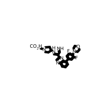 N=C/C(=C\NC1CCN(CC(=O)O)CC1)c1cnc2cccc(-c3cc(F)c(N4CCOCC4)c(F)c3)c2n1